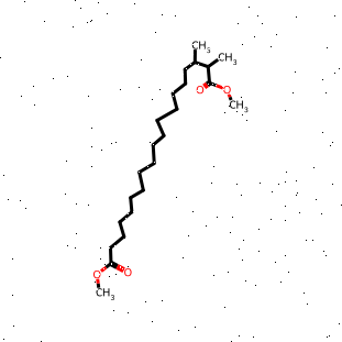 COC(=O)CCCCCCCCCCCCCCCC(C)C(C)C(=O)OC